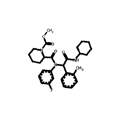 COC(=O)N1CCCCC1C(=O)N(c1cccc(F)c1)C(C(=O)NC1CCCCC1)c1ccccc1C